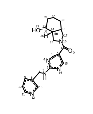 O=C(c1cnc(NCc2cccnc2)nc1)N1CC2CCC[C@@H](O)[C@H]2C1